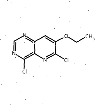 CCOc1cc2ncnc(Cl)c2nc1Cl